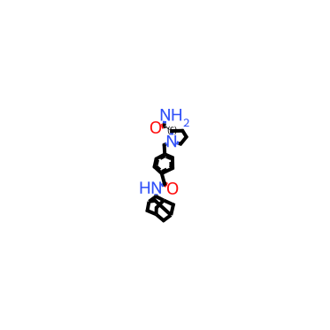 NC(=O)[C@@H]1CCCN1Cc1ccc(C(=O)NC2C3CC4CC(C3)CC2C4)cc1